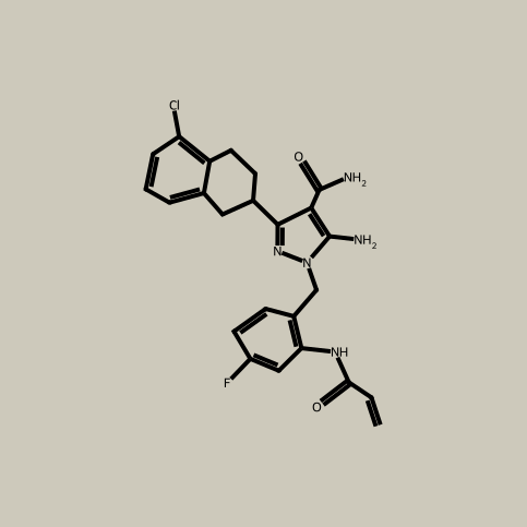 C=CC(=O)Nc1cc(F)ccc1Cn1nc(C2CCc3c(Cl)cccc3C2)c(C(N)=O)c1N